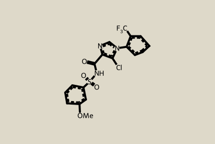 COc1cccc(S(=O)(=O)NC(=O)c2ncn(-c3ccccc3C(F)(F)F)c2Cl)c1